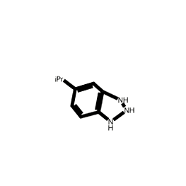 CC(C)c1ccc2c(c1)NNN2